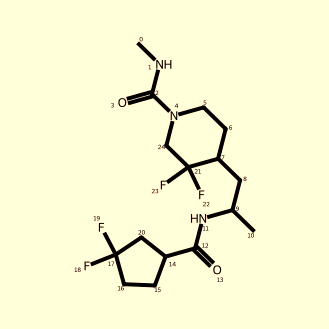 CNC(=O)N1CCC(CC(C)NC(=O)C2CCC(F)(F)C2)C(F)(F)C1